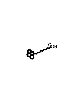 O=C(O)CCCCCCCCCc1cc2cccc3ccc4cccc1c4c32